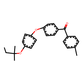 CCC(C)(C)Oc1ccc(Oc2ccc(C(=O)c3ccc(C)cc3)cc2)cc1